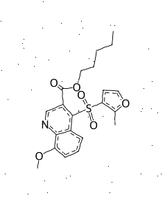 CCCCCOC(=O)c1cnc2c(OC)cccc2c1S(=O)(=O)c1ccoc1C